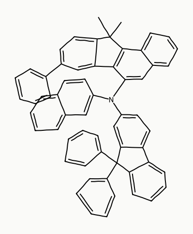 CC1(C)c2ccc(-c3ccccc3)cc2-c2c(N(c3ccc4c(c3)C(c3ccccc3)(c3ccccc3)c3ccccc3-4)c3ccc4ccccc4c3)cc3ccccc3c21